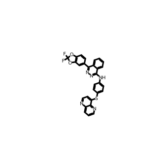 FC1(F)Oc2ccc(-c3nnc(Nc4ccc(Sc5ccnc6cccnc56)cc4)c4ccccc34)cc2O1